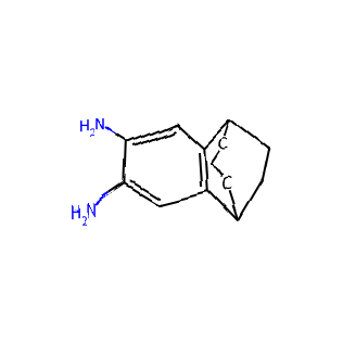 Nc1cc2c(cc1N)C1CCCC2CC1